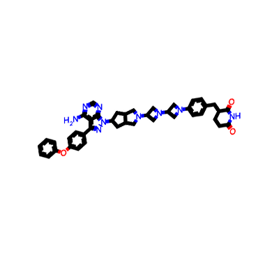 Nc1ncnc2c1c(-c1ccc(Oc3ccccc3)cc1)nn2C1CC2CN(C3CN(C4CN(c5ccc(CC6CCC(=O)NC6=O)cc5)C4)C3)CC2C1